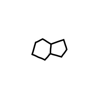 C1CCC2CCC[C]2C1